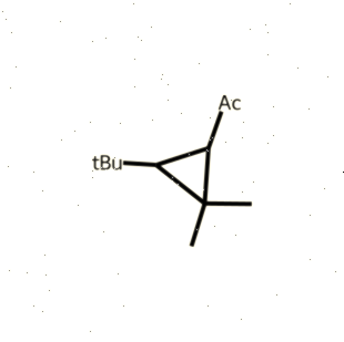 CC(=O)C1C(C(C)(C)C)C1(C)C